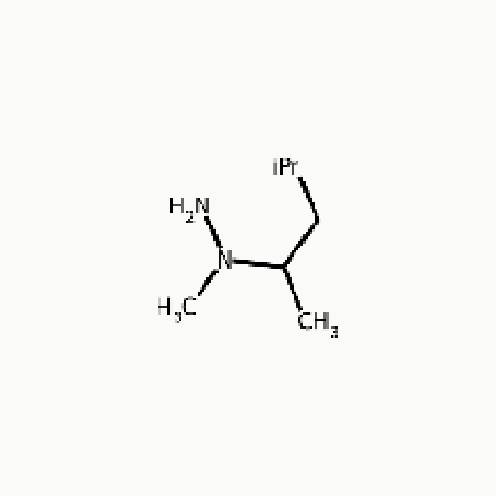 CC(C)CC(C)N(C)N